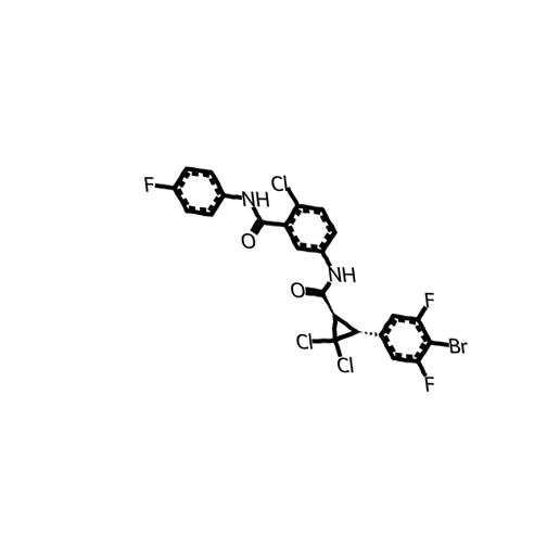 O=C(Nc1ccc(F)cc1)c1cc(NC(=O)[C@H]2[C@H](c3cc(F)c(Br)c(F)c3)C2(Cl)Cl)ccc1Cl